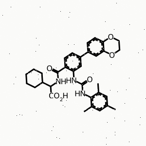 Cc1cc(C)c(NC(=O)Nc2cc(-c3ccc4c(c3)OCCO4)ccc2C(=O)NC(C(=O)O)C2CCCCC2)c(C)c1